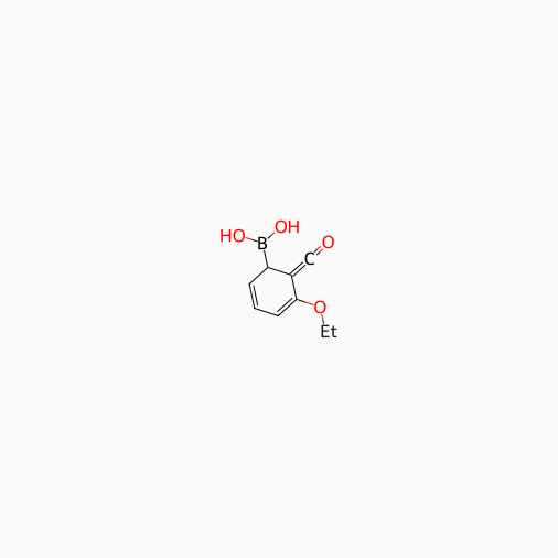 CCOC1=CC=CC(B(O)O)C1=C=O